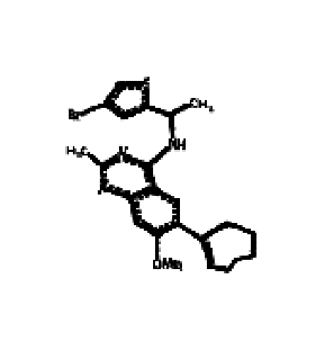 COc1cc2nc(C)nc(NC(C)c3cc(Br)cs3)c2cc1C1=CCCCC1